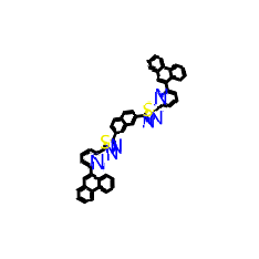 c1cc(-c2nnc(-c3ccc4ccc(-c5nnc(-c6cccc(-c7cc8ccccc8c8ccccc78)n6)s5)cc4c3)s2)nc(-c2cc3ccccc3c3ccccc23)c1